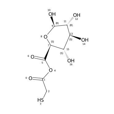 O=C(CS)OC(=O)[C@H]1O[C@@H](O)[C@H](O)[C@@H](O)[C@@H]1O